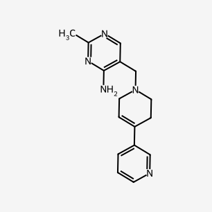 Cc1ncc(CN2CC=C(c3cccnc3)CC2)c(N)n1